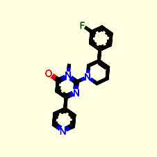 Cn1c(N2CCC=C(c3cccc(F)c3)C2)nc(-c2ccncc2)cc1=O